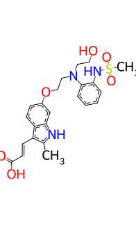 Cc1[nH]c2cc(OCCN(CCO)c3ccccc3NS(C)(=O)=O)ccc2c1C=CC(=O)O